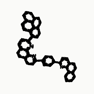 c1ccc2c(c1)ccc1ccc(-c3ccc(-c4ccc5ccc6ccc(-c7ccc8ccc9cccc%10ccc7c8c9%10)nc6c5n4)cc3)nc12